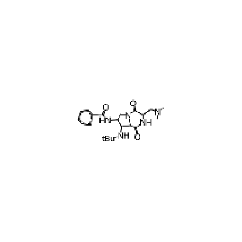 CN(C)CC1NC(=O)C2C(NC(C)(C)C)C(NC(=O)c3ccccc3)CN2C1=O